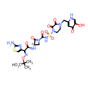 CC(C)(ON=C(C(=O)N[C@H]1CN(C(=O)NS(=O)(=O)N2CCN(Cc3cc(=O)c(O)c[nH]3)C(=O)C2=O)C1=O)c1csc(N)n1)C(=O)O